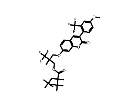 COc1ccc(-c2cc3ccc(OCC(C)(COC(=O)C(C)(CC(C)(C)C)C(C)(C)C)C(F)(F)F)cc3oc2=O)c(C(F)(F)F)c1